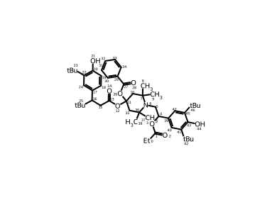 CCC(=O)OC(CN1C(C)(C)CC(OC(=O)CC(c2ccc(O)c(C(C)(C)C)c2)C(C)(C)C)(OC(=O)c2ccccc2)CC1(C)C)c1cc(C(C)(C)C)c(O)c(C(C)(C)C)c1